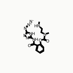 CNCCN(C)C(=O)Oc1ccccc1C(=O)Nc1nnc(N=[N+]=[N-])[nH]1